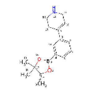 C=C1OB(c2cccc(C3=CCNCC3)c2)OC1(C)C